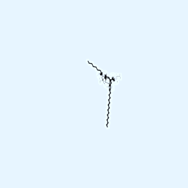 CCCCCCCCCCCCCCCCOC(=O)CC(O)(CC(=O)OC(=O)CCCCCCC)C(=O)O